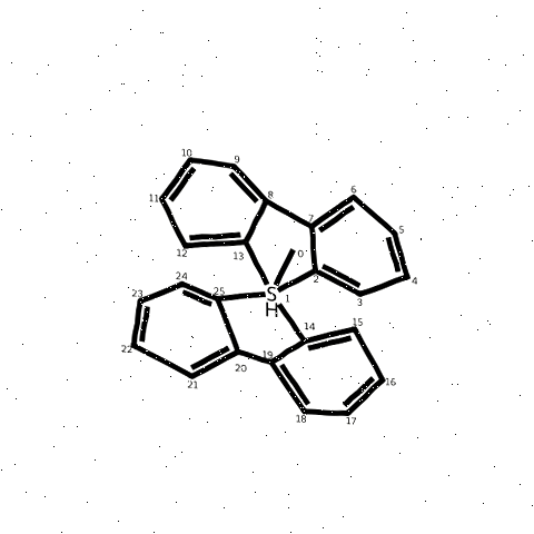 C[SH]12(c3ccccc3-c3ccccc31)c1ccccc1-c1ccccc12